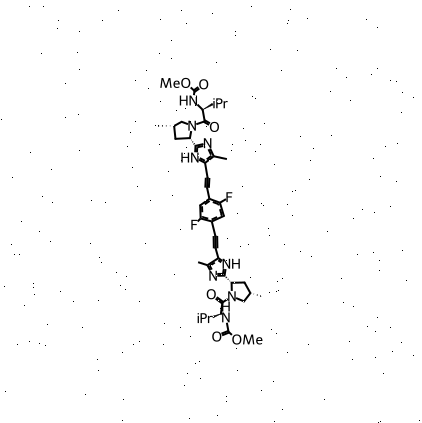 COC(=O)N[C@H](C(=O)N1C[C@@H](C)C[C@H]1c1nc(C)c(C#Cc2cc(F)c(C#Cc3[nH]c([C@@H]4C[C@H](C)CN4C(=O)[C@@H](NC(=O)OC)C(C)C)nc3C)cc2F)[nH]1)C(C)C